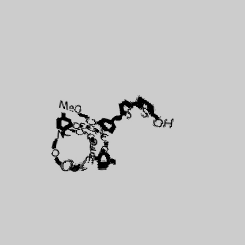 COCCOc1cc(/C=C/c2ccc(-c3ccc(CO)s3)s2)ccc1N1CCOc2cc(C)ccc2N2CCOCCOCCN(CCOCCOCC2)c2ccc(C)cc2OCC1